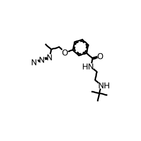 CC(COc1cccc(C(=O)NCCNC(C)(C)C)c1)N=[N+]=[N-]